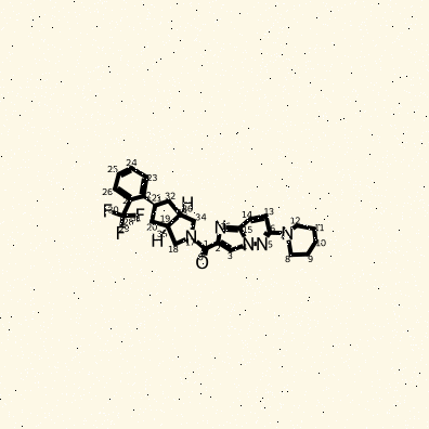 O=C(c1cn2nc(N3CCCCC3)ccc2n1)N1C[C@H]2C[C@@H](c3ccccc3C(F)(F)F)C[C@H]2C1